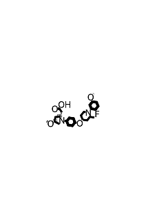 COc1ccc(F)c(N2CCC(Oc3ccc(N4C[C@H](OC)C[C@@H]4CC(=O)O)cc3)CC2C)c1